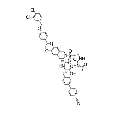 COC(=O)[C@H](Cc1ccc(-c2ccc(C#N)cc2)cc1)NC(=O)[C@@H]1Cc2cc3c(cc2CN1S(=O)(=O)C1(C)CNC(NC(C)=O)S1)OC(c1ccc(OCc2ccc(Cl)c(Cl)c2)cc1)CO3